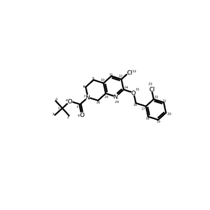 CC(C)(C)OC(=O)N1CCc2cc(Cl)c(OCc3ccccc3Cl)nc2C1